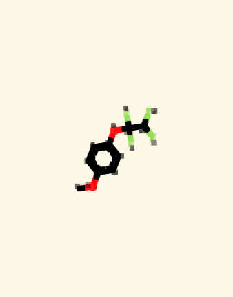 COc1ccc(OC(F)(F)C(F)F)cc1